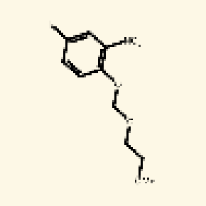 COCCOCOc1ccc(I)cc1[N+](=O)[O-]